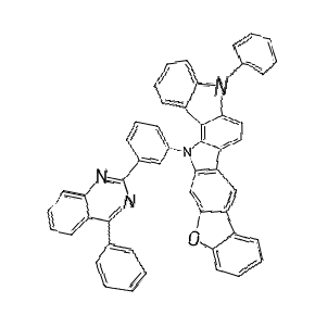 c1ccc(-c2nc(-c3cccc(-n4c5cc6oc7ccccc7c6cc5c5ccc6c(c7ccccc7n6-c6ccccc6)c54)c3)nc3ccccc23)cc1